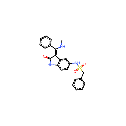 CNC(=C1C(=O)Nc2ccc(NS(=O)(=O)Cc3ccccc3)cc21)c1ccccc1